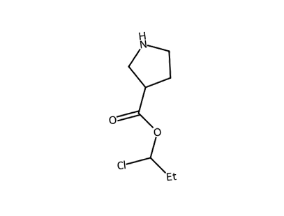 CCC(Cl)OC(=O)C1CCNC1